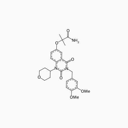 COc1ccc(Cn2c(=O)c3cc(OC(C)(C)C(N)=O)ccc3n(C3CCOCC3)c2=O)cc1OC